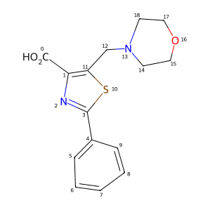 O=C(O)c1nc(-c2ccccc2)sc1CN1CCOCC1